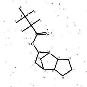 CC(C)(C)C(C)(C)C(=O)OC1CC2CC1C1CCCC21